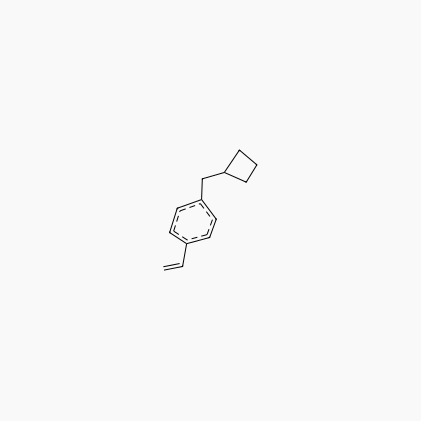 C=Cc1ccc(CC2CCC2)cc1